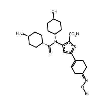 CCON=C1CC=C(c2cc(N(C(=O)[C@H]3CC[C@H](C)CC3)[C@H]3CC[C@H](O)CC3)c(C(=O)O)s2)CC1